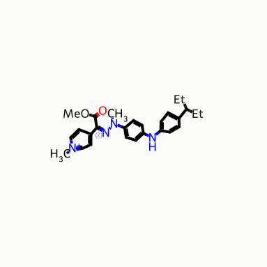 CCC(CC)c1ccc(Nc2ccc(N(C)/N=C(\C(=O)OC)c3cc[n+](C)cc3)cc2)cc1